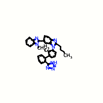 CCCCc1nc2ccc(-c3nc4ccccc4n3C)cc2n1-c1cccc(-c2ccccc2-c2nnn[nH]2)c1C